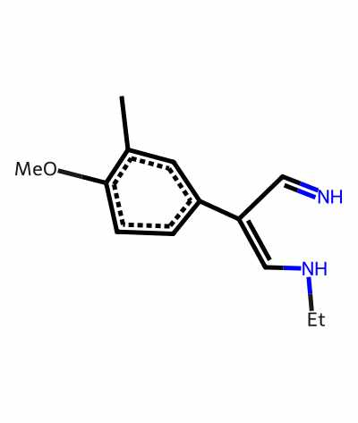 CCN/C=C(\C=N)c1ccc(OC)c(C)c1